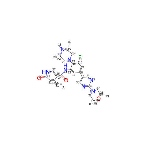 C[C@@H]1CN(c2ncc(-c3cc(F)c(N4C[C@@H](C)N(C)[C@@H](C)C4)c(NC(=O)c4c[nH]c(=O)cc4C(F)(F)F)c3)cn2)C[C@H](C)O1